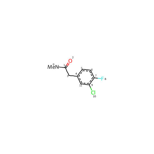 CNC(=O)Cc1ccc(F)c(Cl)c1